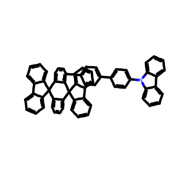 c1ccc2c(c1)-c1ccccc1C21c2ccccc2C2(c3ccccc3-c3ccccc32)c2c(-c3ccc(-c4ccc(-n5c6ccccc6c6ccccc65)cc4)cc3)cccc21